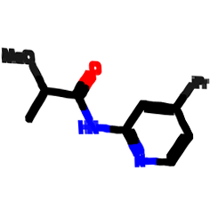 COC(C)C(=O)Nc1cc(C(C)C)ccn1